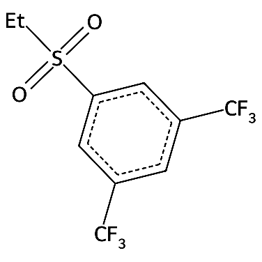 CCS(=O)(=O)c1cc(C(F)(F)F)cc(C(F)(F)F)c1